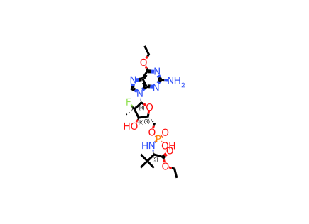 CCOC(=O)[C@@H](NP(=O)(O)OC[C@H]1O[C@@H](n2cnc3c(OCC)nc(N)nc32)[C@](C)(F)[C@@H]1O)C(C)(C)C